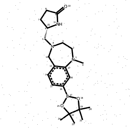 CN1CCN(C[C@@H]2CCC(=O)N2)Cc2ccc(B3OC(C)(C)C(C)(C)O3)cc21